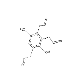 C=CCc1cc(O)c(CC=C)c(CC=C)c1O